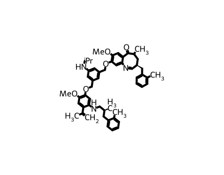 C=C(C)c1cc(OC)c(OCc2cc(COc3cc4c(cc3OC)C(=O)C(C)C[C@@H](Cc3ccccc3C)/C=N\4)cc(NC(C)C)c2)cc1NC[C@@H](C)Cc1ccccc1C